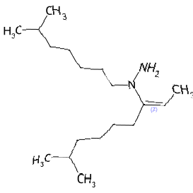 C/C=C(/CCCCC(C)C)N(N)CCCCCC(C)C